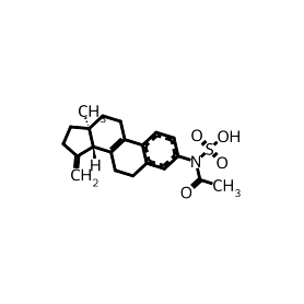 C=C1CC[C@@]2(C)CCC3=C(CCc4cc(N(C(C)=O)S(=O)(=O)O)ccc43)[C@H]12